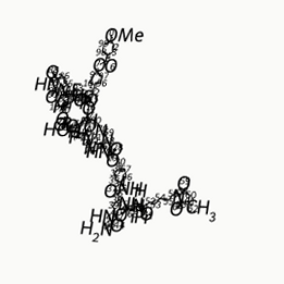 COc1ccc(C(=O)Oc2ccc(CSP3(=O)OC[C@H]4O[C@@H](n5cnc6c(NC(=O)OCc7ccc(NC(=O)C(CCNC(N)=O)NC(=O)C(NC(=O)CCCCCN8C(=O)CC(C)C8=O)C(C)C)cc7)ncnc65)[C@H](F)[C@@H]4OP(=O)(O)OC[C@H]4O[C@@H](n5ccc(=O)[nH]c5=O)[C@H](F)[C@@H]4O3)cc2)cc1